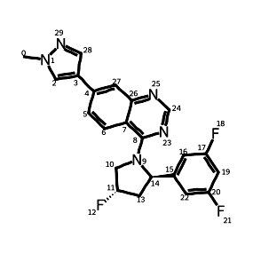 Cn1cc(-c2ccc3c(N4C[C@@H](F)C[C@@H]4c4cc(F)cc(F)c4)ncnc3c2)cn1